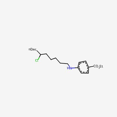 CCCCCCCCCCC(Cl)CCCCCNc1ccc(C(=O)OCC)cc1